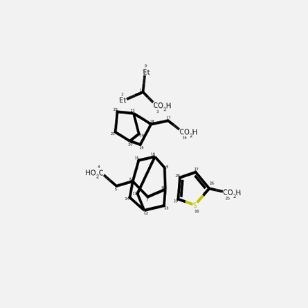 CCC(CC)C(=O)O.O=C(O)CC12CC3CC(CC(C3)C1)C2.O=C(O)CC1CC2CCC1C2.O=C(O)c1cccs1